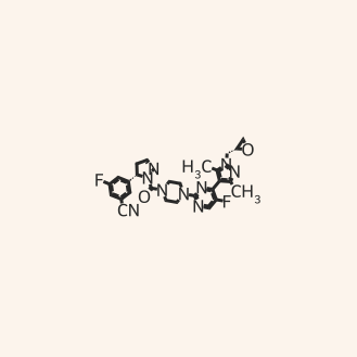 Cc1nn(C[C@@H]2CO2)c(C)c1-c1nc(N2CCN(C(=O)N3N=CC[C@H]3c3cc(F)cc(C#N)c3)CC2)ncc1F